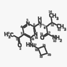 CC(=O)c1cnc(N[C@@H](C(N)=O)C(C)C)nc1NC1CCC1